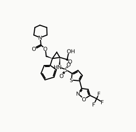 O=C(OC[C@@]1(c2ccccc2)C[C@]1(NS(=O)(=O)c1ccc(-c2cc(C(F)(F)F)on2)s1)C(=O)O)N1CCCCC1